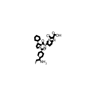 N[C@H](CF)[C@H]1CC[C@H](C(=O)N2CC[C@@H](C3CCCCC3)[C@H]2C(=O)Nc2ccc3nc(C(=O)O)c(Cl)n3c2)CC1